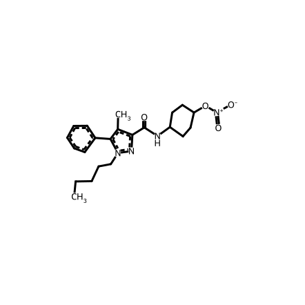 CCCCCn1nc(C(=O)NC2CCC(O[N+](=O)[O-])CC2)c(C)c1-c1ccccc1